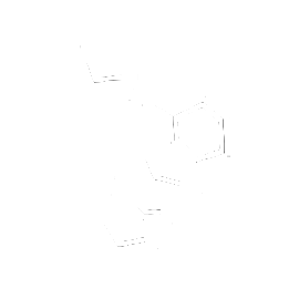 C=CC.C=CC.C=CC.C=CC.O=S(=O)(O)c1ccccc1